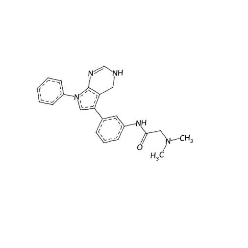 CN(C)CC(=O)Nc1cccc(-c2cn(-c3ccccc3)c3c2CNC=N3)c1